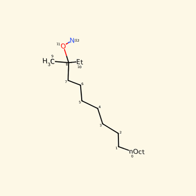 CCCCCCCCCCCCCCCC(C)(CC)O[N]